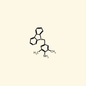 Cc1cc(Cn2c3ccccc3c3ccccc32)cc(C)c1N